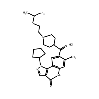 Cc1cc2[nH]c(=O)c3cnn(C4CCCC4)c3c2cc1C(=O)N1CCN(CCOC(C)C)CC1.Cl